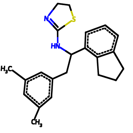 Cc1cc(C)cc(CC(NC2=NCCS2)c2cccc3c2CCC3)c1